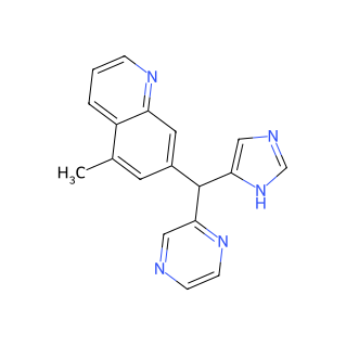 Cc1cc(C(c2cnccn2)c2cnc[nH]2)cc2ncccc12